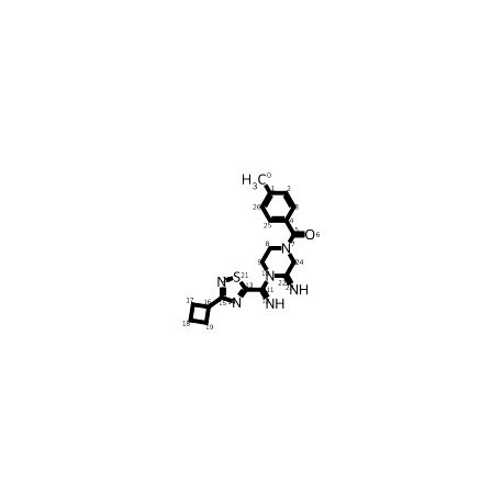 Cc1ccc(C(=O)N2CCN(C(=N)c3nc(C4CCC4)ns3)C(=N)C2)cc1